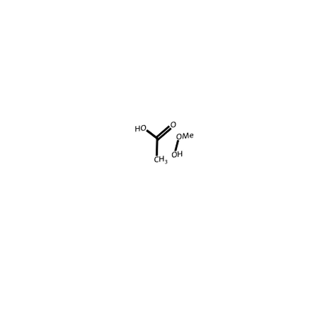 CC(=O)O.COO